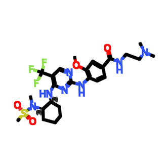 COc1cc(C(=O)NCCN(C)C)ccc1Nc1ncc(C(F)(F)F)c(N[C@@H]2CCCC[C@H]2N(C)S(C)(=O)=O)n1